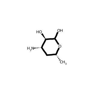 C[C@@H]1C[C@H](N)[C@@H](O)C(O)O1